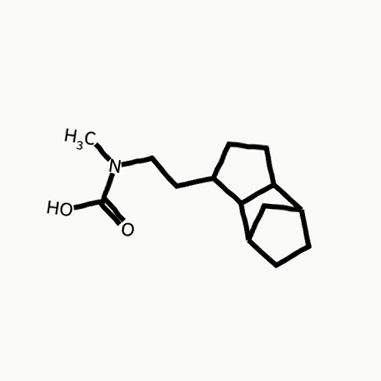 CN(CCC1CCC2C3CCC(C3)C12)C(=O)O